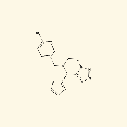 Brc1ccc(CN2CCn3nnnc3C2c2cccs2)cc1